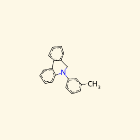 Cc1cccc(N2Cc3ccccc3-c3ccccc32)c1